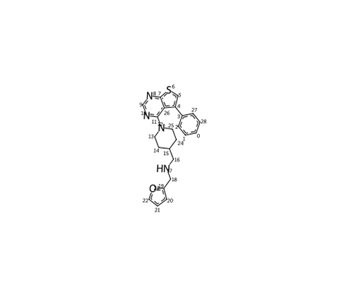 c1ccc(-c2csc3ncnc(N4CCC(CNCc5ccco5)CC4)c23)cc1